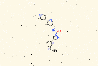 C=C/C(=C\C(C)=C/C(C)C)c1cnn(C(=O)NCc2cnc(-c3ccnc(C)c3)c(C)c2)c1